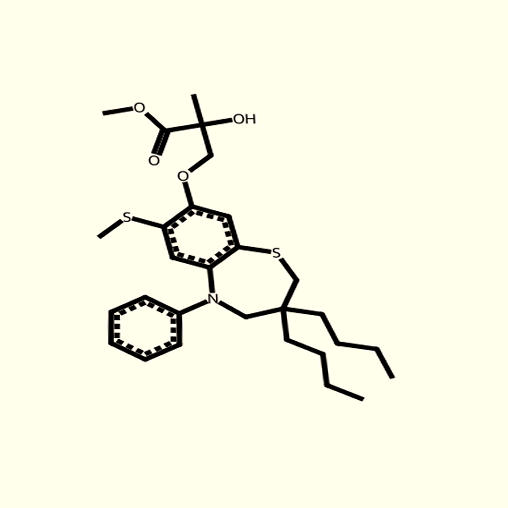 CCCCC1(CCCC)CSc2cc(OCC(C)(O)C(=O)OC)c(SC)cc2N(c2ccccc2)C1